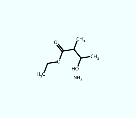 CCOC(=O)C(C)C(C)O.N